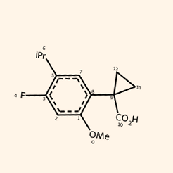 COc1cc(F)c(C(C)C)cc1C1(C(=O)O)CC1